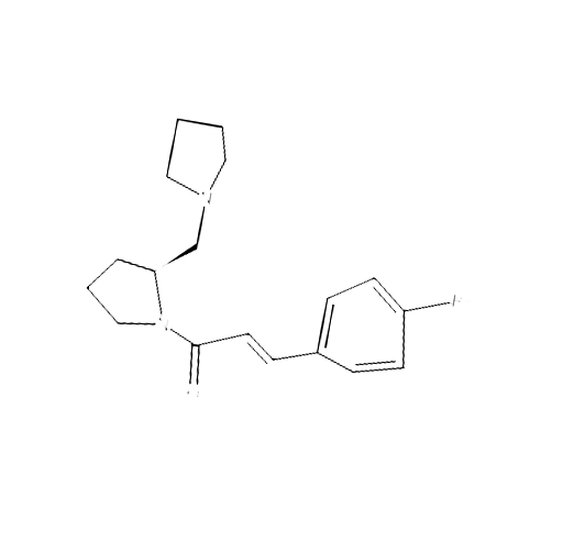 O=C(/C=C/c1ccc(Br)cc1)N1CCC[C@H]1CN1CCCC1